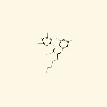 CCCCCCCCCCCCCCC(=Nc1cc(C)cc(C)c1)C(CCCC)=Nc1cc(C)cc(C)c1.[Ni]